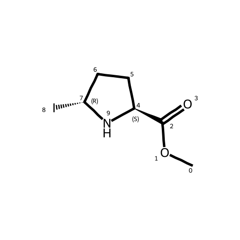 COC(=O)[C@@H]1CC[C@@H](I)N1